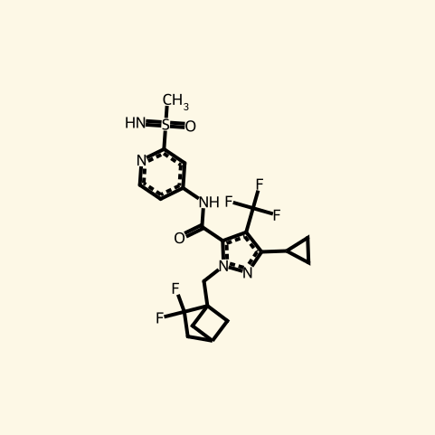 CS(=N)(=O)c1cc(NC(=O)c2c(C(F)(F)F)c(C3CC3)nn2CC23CC(CC2(F)F)C3)ccn1